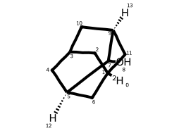 [2H]C12CC3C[C@H](C1)C(O)[C@@H](C3)C2